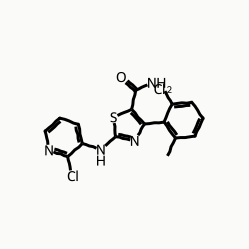 Cc1cccc(Cl)c1-c1nc(Nc2cccnc2Cl)sc1C(N)=O